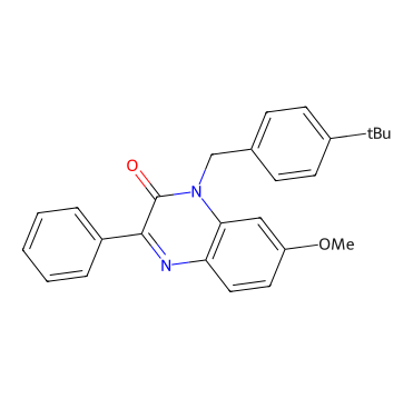 COc1ccc2nc(-c3ccccc3)c(=O)n(Cc3ccc(C(C)(C)C)cc3)c2c1